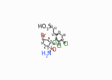 NC(=O)c1ccc(Br)cc1Cl.O=S(=O)(O)/C=C/c1ccc(Cl)c(Cl)c1